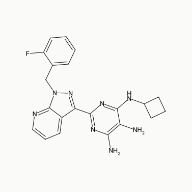 Nc1nc(-c2nn(Cc3ccccc3F)c3ncccc23)nc(NC2CCC2)c1N